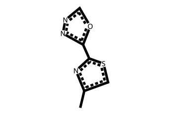 Cc1csc(-c2nnco2)n1